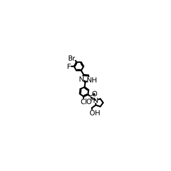 O=S(=O)(c1cc(-c2nc(-c3ccc(Br)c(F)c3)c[nH]2)ccc1Cl)N1CCCC1CO